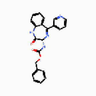 O=C(N[C@H]1N=C(c2cccnc2)c2ccccc2NC1=O)OCc1ccccc1